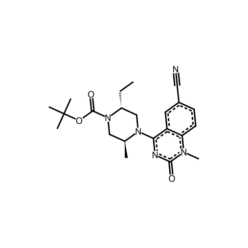 CC[C@@H]1CN(c2nc(=O)n(C)c3ccc(C#N)cc23)[C@@H](C)CN1C(=O)OC(C)(C)C